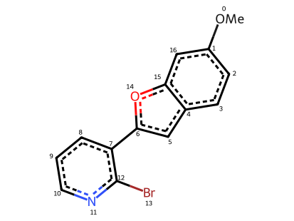 COc1ccc2cc(-c3cccnc3Br)oc2c1